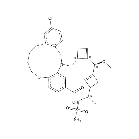 CO[C@@H](C1=CC([C@H](C)CS(N)(=O)=O)C1)[C@@H]1CC[C@H]1CN1Cc2ccc(Cl)cc2CCCCOc2ccc(C(=O)O)cc21